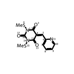 CSN1C(=O)C(=Cc2ccccn2)C(=O)N(SC)C1=O